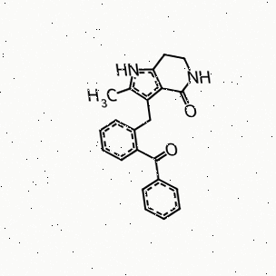 Cc1[nH]c2c(c1Cc1ccccc1C(=O)c1ccccc1)C(=O)NCC2